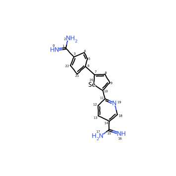 N=C(N)c1ccc(-c2ccc(-c3ccc(C(=N)N)cn3)[se]2)cc1